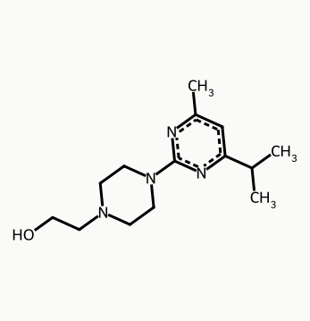 Cc1cc(C(C)C)nc(N2CCN(CCO)CC2)n1